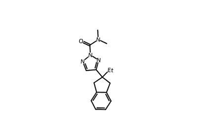 CCC1(c2cnn(C(=O)N(C)C)n2)Cc2ccccc2C1